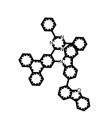 c1ccc(-c2nc(-c3ccccc3)nc(-c3cc4c5ccccc5c5ccccc5c4cc3-n3c4ccccc4c4ccc(-c5cccc6c5oc5ccccc56)cc43)n2)cc1